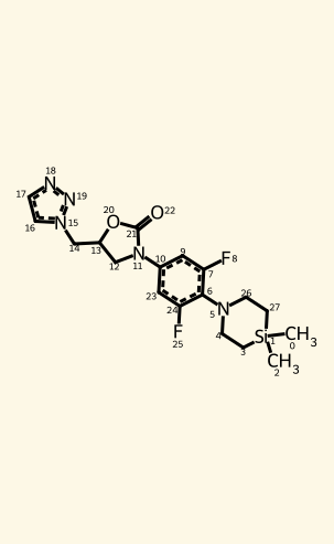 C[Si]1(C)CCN(c2c(F)cc(N3CC(Cn4ccnn4)OC3=O)cc2F)CC1